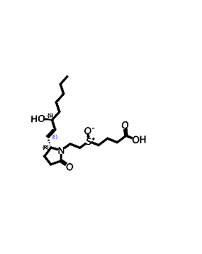 CCCCC[C@H](O)/C=C/[C@H]1CCC(=O)N1CC[S+]([O-])CCCC(=O)O